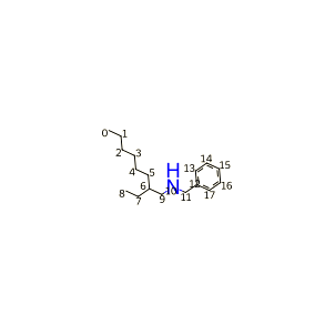 CCCCCCC(CC)CNCc1ccccc1